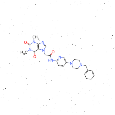 Cn1c(=O)c2c(ncn2CC(=O)Nc2ccc(N3CCN(CC4=CCCC=C4)CC3)cn2)n(C)c1=O